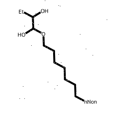 CCCCCCCCCCCCCCCCOC(O)C(O)CC